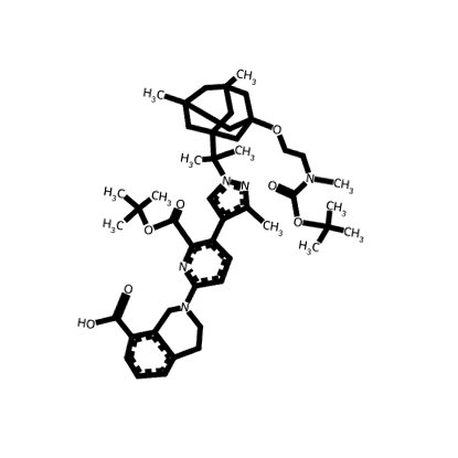 Cc1nn(C(C)(C)C23CC4(C)CC(C)(CC(OCCN(C)C(=O)OC(C)(C)C)(C4)C2)C3)cc1-c1ccc(N2CCc3cccc(C(=O)O)c3C2)nc1C(=O)OC(C)(C)C